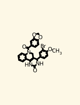 COc1ccc(C2NC(=O)NC3=C2CN(C(=O)c2ccc4c(c2)OCO4)c2ccccc23)cc1Br